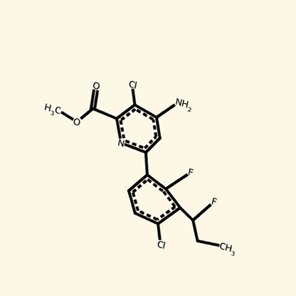 CCC(F)c1c(Cl)ccc(-c2cc(N)c(Cl)c(C(=O)OC)n2)c1F